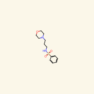 O=S(=O)(NCCCN1CCOCC1)c1[c]cccc1